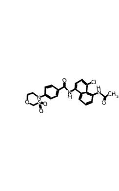 CC(=O)Nc1cccc2c(NC(=O)c3ccc(N4CCOCS4(=O)=O)cc3)ccc(Cl)c12